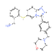 NCc1ccccc1SC1=Cn2c(nnc2-c2ccc(CN3CCOCC3)cc2)CC1